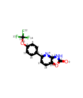 O=c1[nH]c2nc(-c3ccc(OC(F)(F)F)cc3)ccc2o1